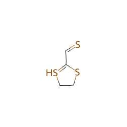 S=CC1=[SH]CCS1